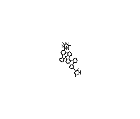 Cc1cnc(C)c(-c2cccc(-c3ccccc3-c3cccc4c3-c3ccccc3C43c4ccccc4-c4ccc(-c5nc(C)nc(C)n5)cc43)c2)c1